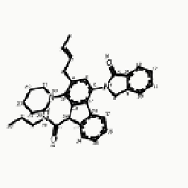 CC=CCc1cc(N2Cc3ccccc3C2=O)c2c(c1N1CCCCC1)C(C(=O)NCCC)c1ccccc1-2